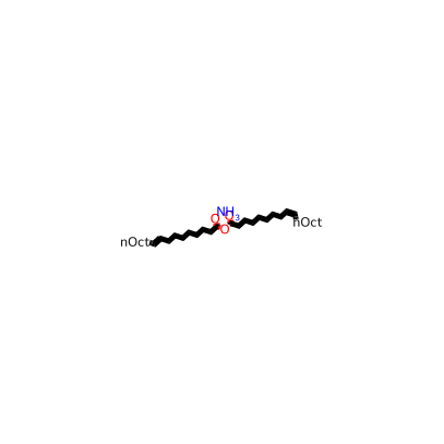 CCCCCCCCC=CCCCCCCCC(=O)OC(=O)CCCCCCC/C=C\CCCCCCCC.N